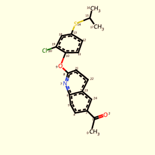 CC(=O)c1ccc2nc(Oc3ccc(SC(C)C)cc3Cl)ccc2c1